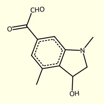 Cc1cc(C(=O)C=O)cc2c1C(O)CN2C